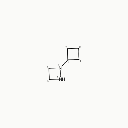 C1CC(N2CCN2)C1